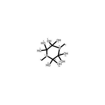 CN1C(O)(O)C(O)(O)N(C)C(O)(O)C1(O)O